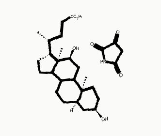 C[C@H](CCC(=O)O)[C@H]1CCC2C3CC[C@@H]4C[C@H](O)CC[C@]4(C)C3C[C@H](O)[C@@]21C.O=C1CC(=O)C(=O)N1